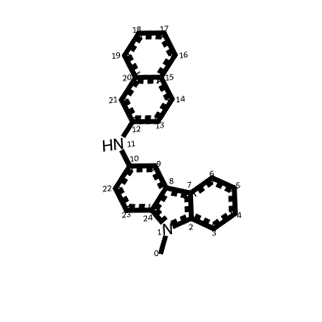 Cn1c2ccccc2c2cc(Nc3ccc4ccccc4c3)ccc21